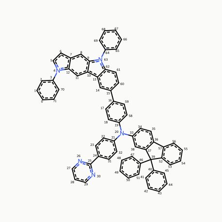 c1ccc(-n2ccc3cc4c(cc32)c2cc(-c3ccc(N(c5ccc(-c6ncccn6)cc5)c5ccc6c(c5)C(c5ccccc5)(c5ccccc5)c5ccccc5-6)cc3)ccc2n4-c2ccccc2)cc1